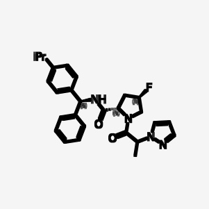 CC(C)c1ccc([C@@H](NC(=O)[C@@H]2C[C@@H](F)CN2C(=O)C(C)n2cccn2)c2ccccc2)cc1